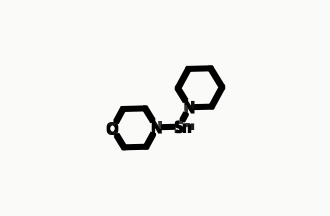 C1CC[N]([Sn][N]2CCOCC2)CC1